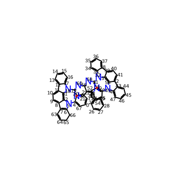 C1=CCCC(n2c3c(c4ccc5c6ccccc6n(-c6ncc7c(-c8ccccc8)nc(-n8c9ccccc9c9ccc%10c%11ccccc%11n(-c%11ccccc%11)c%10c98)nc7n6)c5c42)C=CCC3)=C1